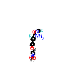 CC(C)OC(=O)N1CCC([C@H](C)Oc2ccc(-c3ccc(CC(N)C(=O)N4CCC(F)C4)c(F)c3)cc2)CC1